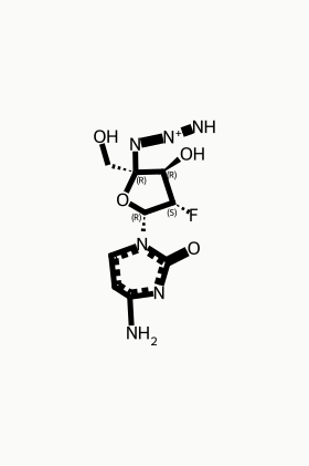 N=[N+]=N[C@]1(CO)O[C@@H](n2ccc(N)nc2=O)[C@@H](F)[C@@H]1O